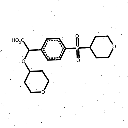 O=C(O)C(OC1CCOCC1)c1ccc(S(=O)(=O)C2CCOCC2)cc1